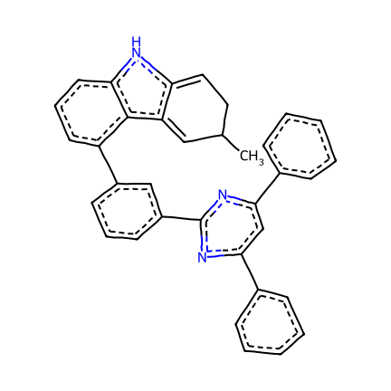 CC1C=c2c([nH]c3cccc(-c4cccc(-c5nc(-c6ccccc6)cc(-c6ccccc6)n5)c4)c23)=CC1